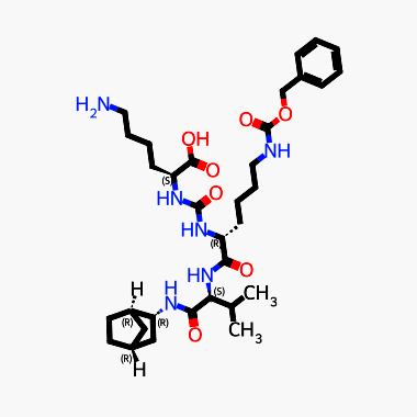 CC(C)[C@H](NC(=O)[C@@H](CCCCNC(=O)OCc1ccccc1)NC(=O)N[C@@H](CCCCN)C(=O)O)C(=O)N[C@@H]1C[C@@H]2CC[C@@H]1C2